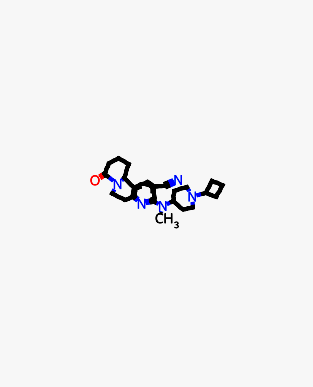 CN(c1nc2c(cc1C#N)C1CCCC(=O)N1CC2)C1CCN(C2CCC2)CC1